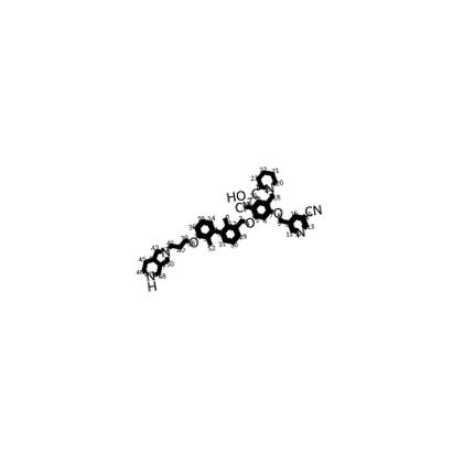 Cc1c(COc2cc(OCc3cncc(C#N)c3)c(CN3CCCC[C@H]3C(=O)O)cc2Cl)cccc1-c1cccc(OCCCN2CC3CCNCC3C2)c1C